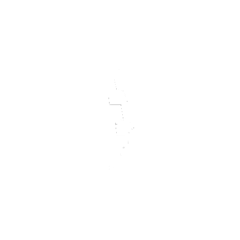 CCC1CCC(c2ccc(/C=C/OC)cc2)CC1